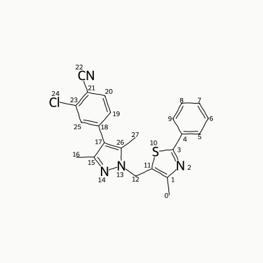 Cc1nc(-c2ccccc2)sc1Cn1nc(C)c(-c2ccc(C#N)c(Cl)c2)c1C